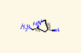 N#C[C@@H]1CN[C@H](CN)C1